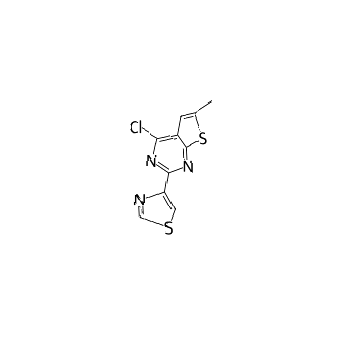 Cc1cc2c(Cl)nc(-c3cscn3)nc2s1